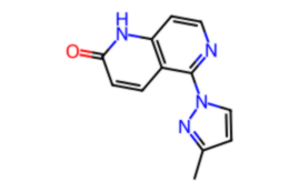 Cc1ccn(-c2nccc3[nH]c(=O)ccc23)n1